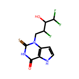 O=c1[nH]c(=S)n(CC(F)C(O)C(F)F)c2cc[nH]c12